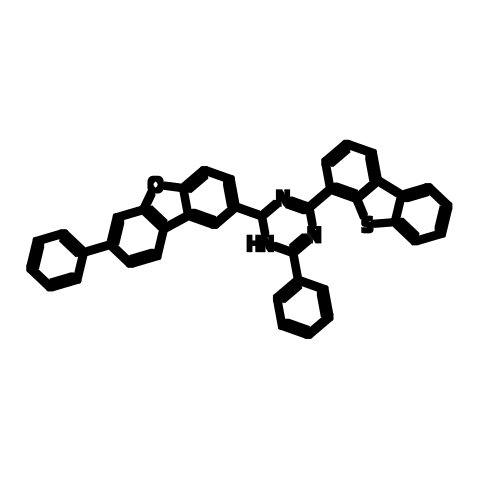 c1ccc(C2=NC(c3cccc4c3sc3ccccc34)=NC(c3ccc4oc5cc(-c6ccccc6)ccc5c4c3)N2)cc1